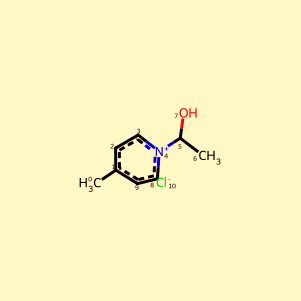 Cc1cc[n+](C(C)O)cc1.[Cl-]